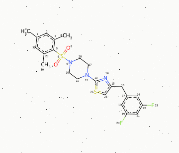 Cc1cc(C)c(S(=O)(=O)N2CCN(c3nc(Cc4cc(F)cc(F)c4)cs3)CC2)c(C)c1